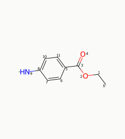 CCOC(=O)c1ccc([NH])cc1